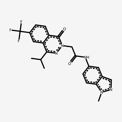 CC(C)c1nn(CC(=O)Nc2ccc3c(cnn3C)c2)c(=O)c2ccc(C(F)(F)F)cc12